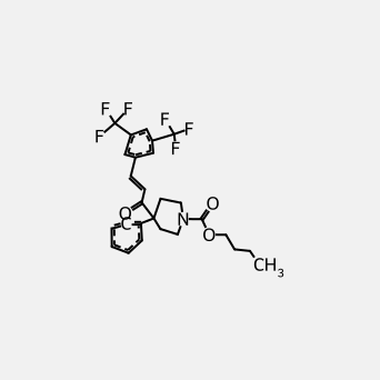 CCCCOC(=O)N1CCC(C(=O)C=Cc2cc(C(F)(F)F)cc(C(F)(F)F)c2)(c2ccccc2)CC1